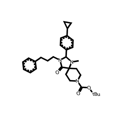 CN1C(c2ccc(C3CC3)cc2)N(CCCc2ccccc2)C(=O)C12CCN(C(=O)OC(C)(C)C)CC2